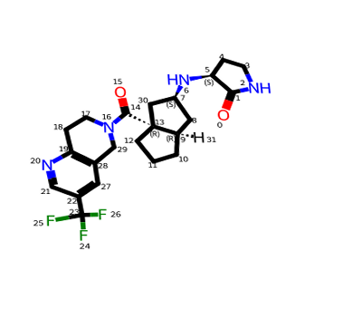 O=C1NCC[C@@H]1N[C@H]1C[C@H]2CCC[C@@]2(C(=O)N2CCc3ncc(C(F)(F)F)cc3C2)C1